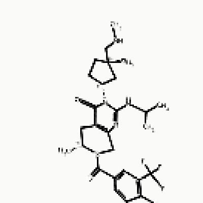 CNC[C@@]1([SiH3])CC[C@@H](n2c(NC(C)C)nc3c(c2=O)C[C@@H](C)N(C(=O)c2ccc(Cl)c(C(F)(F)F)c2)C3)C1